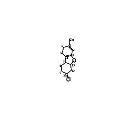 FC1=CC2=C(CC1)C1CC[C@H](Cl)CC1O2